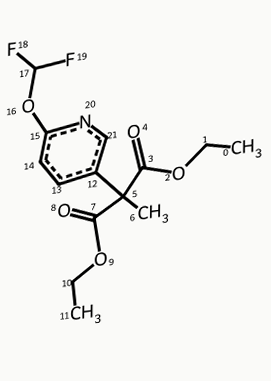 CCOC(=O)C(C)(C(=O)OCC)c1ccc(OC(F)F)nc1